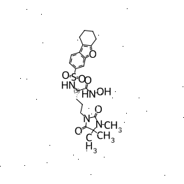 CN1C(=O)N(CCC[C@H](NS(=O)(=O)c2ccc3c4c(oc3c2)CCCC4)C(=O)NO)C(=O)C1(C)C